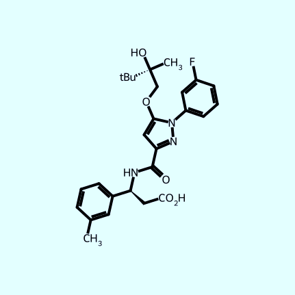 Cc1cccc([C@H](CC(=O)O)NC(=O)c2cc(OC[C@](C)(O)C(C)(C)C)n(-c3cccc(F)c3)n2)c1